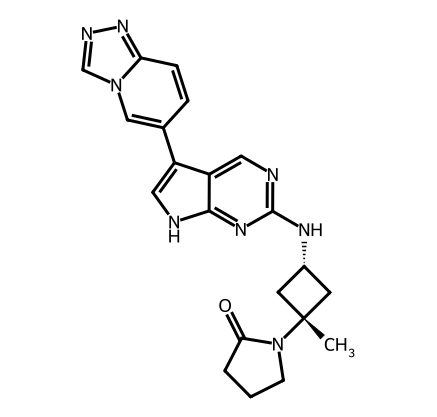 C[C@]1(N2CCCC2=O)C[C@@H](Nc2ncc3c(-c4ccc5nncn5c4)c[nH]c3n2)C1